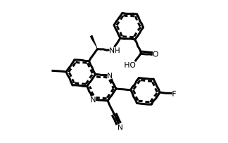 Cc1cc([C@@H](C)Nc2ccccc2C(=O)O)c2nc(-c3ccc(F)cc3)c(C#N)nc2c1